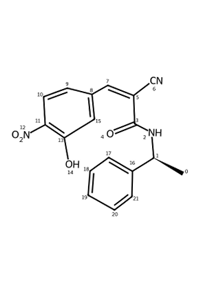 C[C@H](NC(=O)C(C#N)=Cc1ccc([N+](=O)[O-])c(O)c1)c1ccccc1